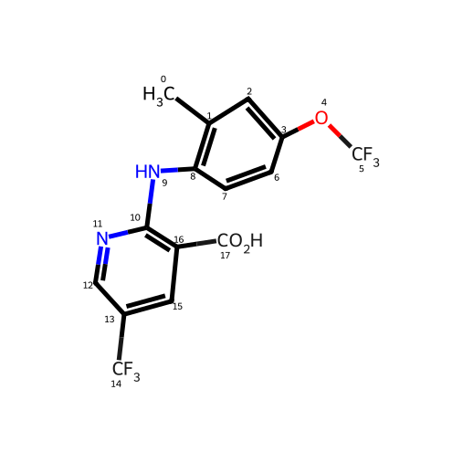 Cc1cc(OC(F)(F)F)ccc1Nc1ncc(C(F)(F)F)cc1C(=O)O